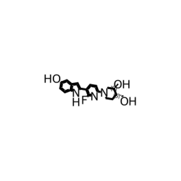 OC[C@@H]1CCN(c2ccc(-c3cc4cc(O)ccc4[nH]3)c(F)n2)C[C@H]1O